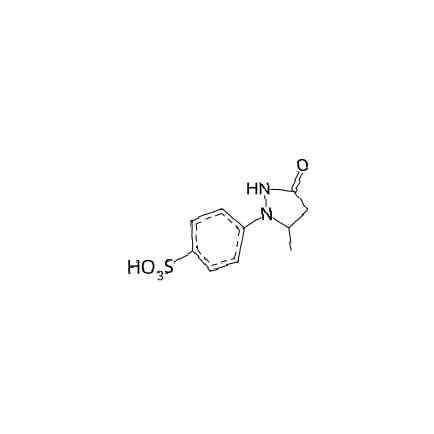 CC1CC(=O)NN1c1ccc(S(=O)(=O)O)cc1